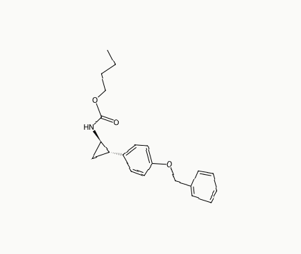 CCCCOC(=O)N[C@@H]1C[C@H]1c1ccc(OCc2ccccc2)cc1